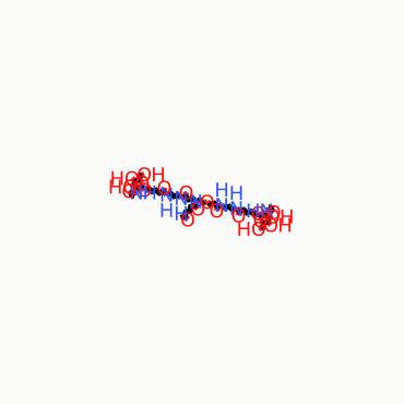 CC(=O)CCCC(=O)N(CCOCCC(=O)NCCCNC(=O)CCCCOC1OC(CO)C(O)C(O)C1NC(C)=O)CCC(=O)NCCCNC(=O)CCCCOC1OC(CO)C(O)C(O)C1NC(C)=O